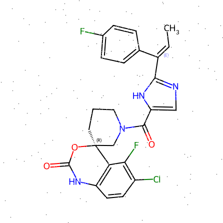 C/C=C(\c1ccc(F)cc1)c1ncc(C(=O)N2CCC[C@@]3(C2)OC(=O)Nc2ccc(Cl)c(F)c23)[nH]1